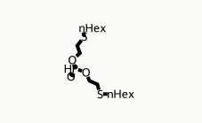 CCCCCCSCCO[PH](=O)OCCSCCCCCC